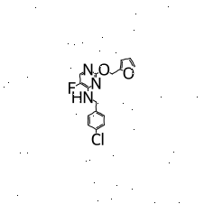 Fc1cnc(OCc2ccco2)nc1NCc1ccc(Cl)cc1